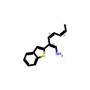 C\C=C/C=C\C(=C\N)c1cc2ccccc2s1